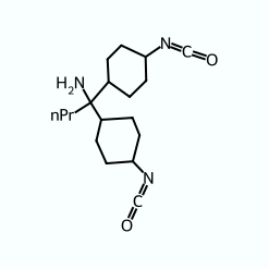 CCCC(N)(C1CCC(N=C=O)CC1)C1CCC(N=C=O)CC1